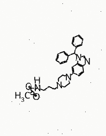 CS(=O)(=O)NCCCN1CCN(c2ccc3ncn(C(c4ccccc4)c4ccccc4)c3c2)CC1